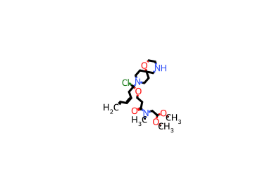 C=C/C=C\CC(Cl)(OCCC(=O)N(C)CC(OC)OC)N1CCC2(CC1)CNCCO2